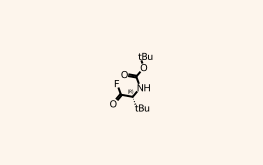 CC(C)(C)OC(=O)N[C@@H](C(=O)F)C(C)(C)C